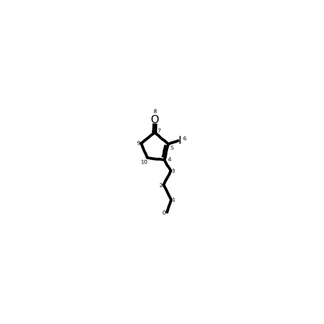 CCCCC1=C(I)C(=O)CC1